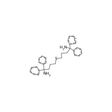 NC(CCCSCCCC(N)(c1ccccc1)c1ccccc1)(c1ccccc1)c1ccccc1